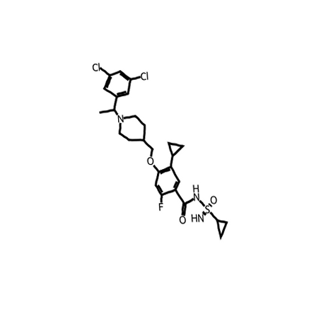 CC(c1cc(Cl)cc(Cl)c1)N1CCC(COc2cc(F)c(C(=O)NS(=N)(=O)C3CC3)cc2C2CC2)CC1